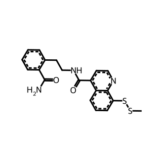 CSSc1cccc2c(C(=O)NCCc3ccccc3C(N)=O)ccnc12